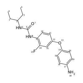 CCC(CC)NC(=O)Nc1ccc(Oc2ccc(N)cc2)cc1F